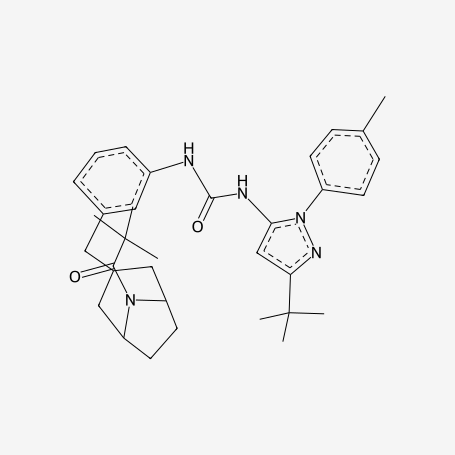 Cc1ccc(-n2nc(C(C)(C)C)cc2NC(=O)Nc2cccc(CC3CC4CCC(C3)N4C(=O)C(C)(C)C)c2)cc1